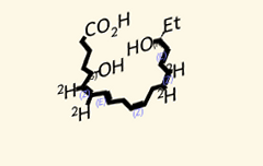 [2H]C(/C=C/[C@H](O)CC)=C(\[2H])C/C=C\C/C=C/C([2H])=C(/[2H])[C@@H](O)CCCC(=O)O